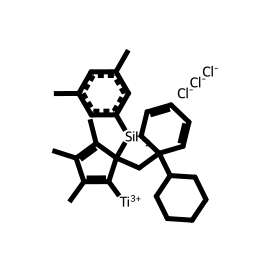 CC1=C(C)C(CC2(C3CCCCC3)C=CC=CC2)([SiH2]c2cc(C)cc(C)c2)[C]([Ti+3])=C1C.[Cl-].[Cl-].[Cl-]